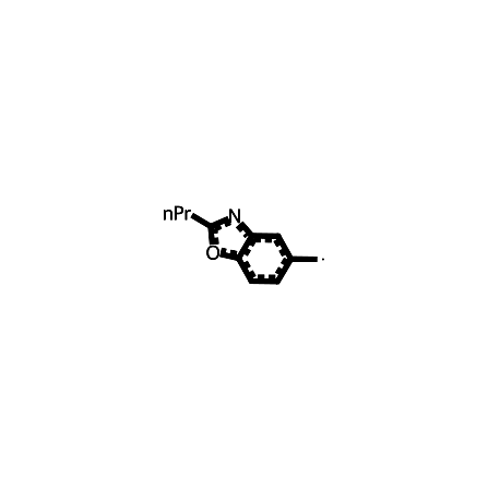 [CH2]c1ccc2oc(CCC)nc2c1